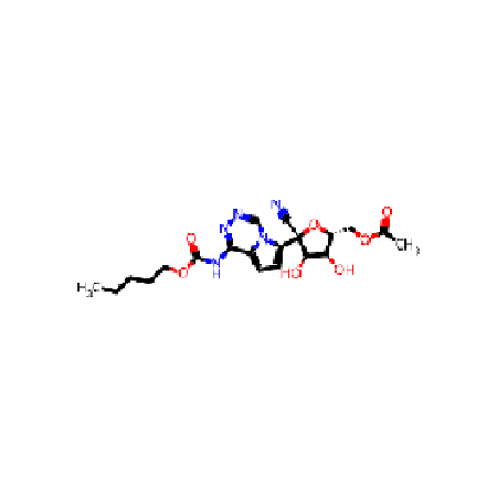 CCCCCOC(=O)Nc1nncn2c([C@]3(C#N)O[C@H](COC(C)=O)[C@@H](O)[C@H]3O)ccc12